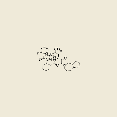 CC(C)C[C@H](NC(=O)[C@@H]1CCCC[C@@H]1NC(=O)c1ccccc1F)C(=O)CN1CCCc2ccccc2C1